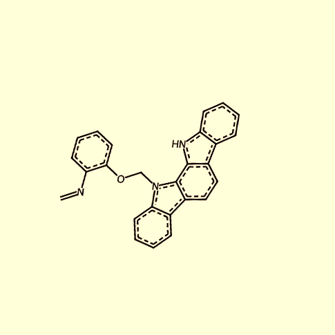 C=Nc1ccccc1OCn1c2ccccc2c2ccc3c4ccccc4[nH]c3c21